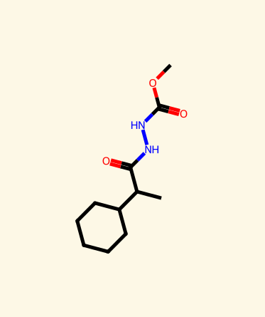 COC(=O)NNC(=O)C(C)C1CCCCC1